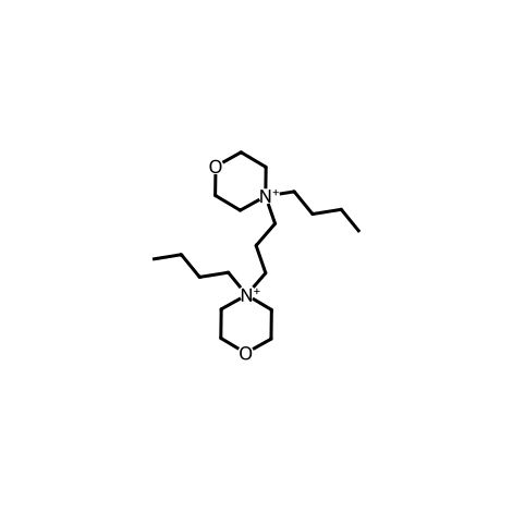 CCCC[N+]1(CCC[N+]2(CCCC)CCOCC2)CCOCC1